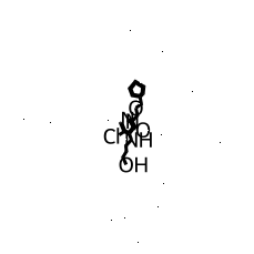 O=c1c(NCCCO)c(Cl)cnn1COCc1ccccc1